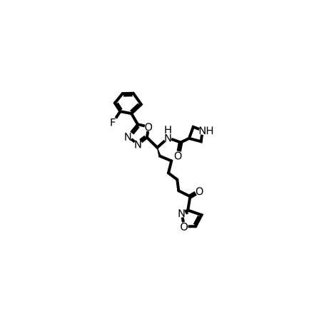 O=C(CCCCC[C@H](NC(=O)C1CNC1)c1nnc(-c2ccccc2F)o1)c1ccon1